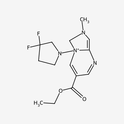 CCOC(=O)C1=C[N+]2(N3CCC(F)(F)C3)CN(C)C=C2N=C1